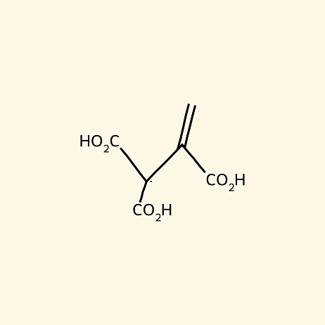 C=C([C](C(=O)O)C(=O)O)C(=O)O